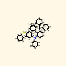 CCc1ccccc1C1(c2ccccc2CC)c2ccccc2-c2c(N(c3ccccc3)c3ccc4sc5ccccc5c4c3)cccc21